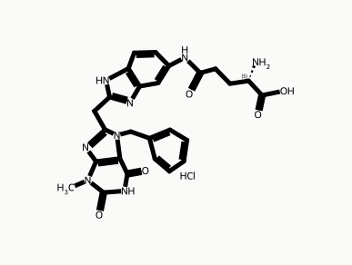 Cl.Cn1c(=O)[nH]c(=O)c2c1nc(Cc1nc3cc(NC(=O)CC[C@H](N)C(=O)O)ccc3[nH]1)n2Cc1ccccc1